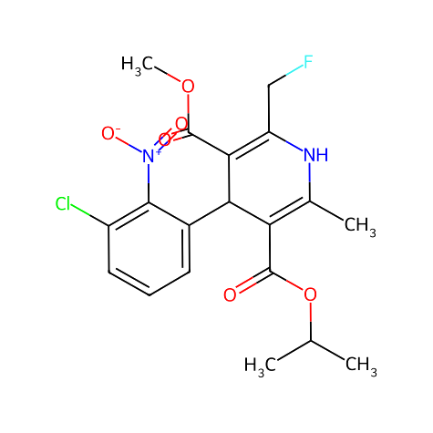 COC(=O)C1=C(CF)NC(C)=C(C(=O)OC(C)C)C1c1cccc(Cl)c1[N+](=O)[O-]